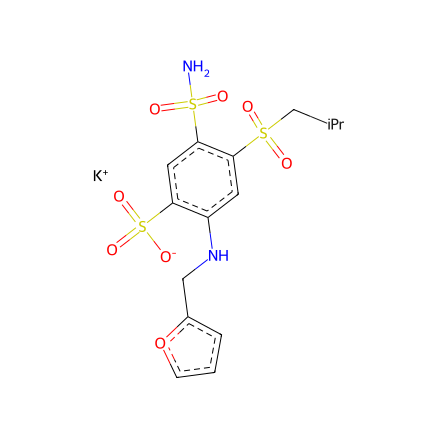 CC(C)CS(=O)(=O)c1cc(NCc2ccco2)c(S(=O)(=O)[O-])cc1S(N)(=O)=O.[K+]